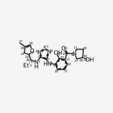 CC[C@@H](Nc1nsnc1Nc1cccc(C(=O)N2CC[C@@H](O)C2)c1O)C1CC(C)=CO1